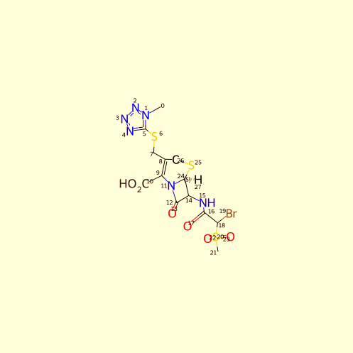 Cn1nnnc1SCC1=C(C(=O)O)N2C(=O)C(NC(=O)C(Br)S(C)(=O)=O)[C@@H]2SC1